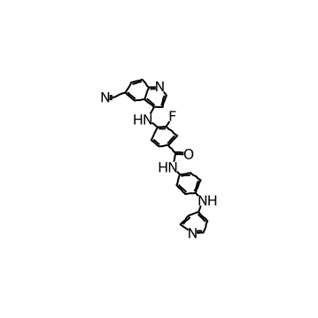 N#Cc1ccc2nccc(Nc3ccc(C(=O)Nc4ccc(Nc5ccncc5)cc4)cc3F)c2c1